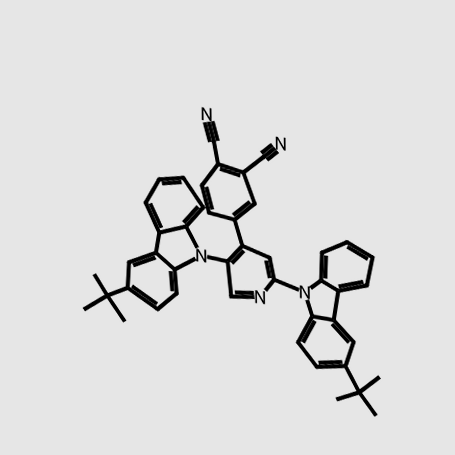 CC(C)(C)c1ccc2c(c1)c1ccccc1n2-c1cc(-c2ccc(C#N)c(C#N)c2)c(-n2c3ccccc3c3cc(C(C)(C)C)ccc32)cn1